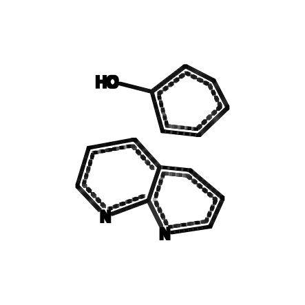 Oc1ccccc1.c1cnc2ncccc2c1